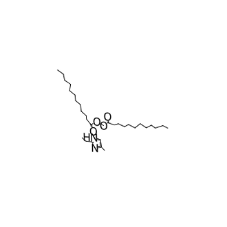 CCCCCCCCCCCC(=O)OOC(=O)CCCCCCCCCCC.CCc1nc(C)c[nH]1